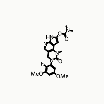 COc1cc(OC)c(F)c(N2Cc3cnc4[nH]c(OC(=O)N(C)C)cc4c3N(C)C2=O)c1